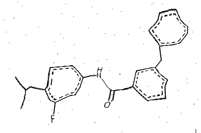 CC(C)c1ccc(NC(=O)c2cccc(-c3ccccc3)c2)cc1F